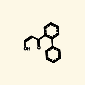 O=C(/C=C\O)c1ccccc1-c1ccccc1